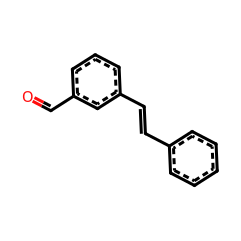 O=Cc1cccc(C=Cc2ccccc2)c1